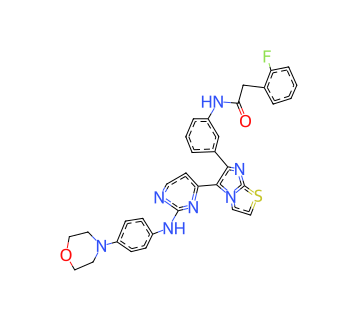 O=C(Cc1ccccc1F)Nc1cccc(-c2nc3sccn3c2-c2ccnc(Nc3ccc(N4CCOCC4)cc3)n2)c1